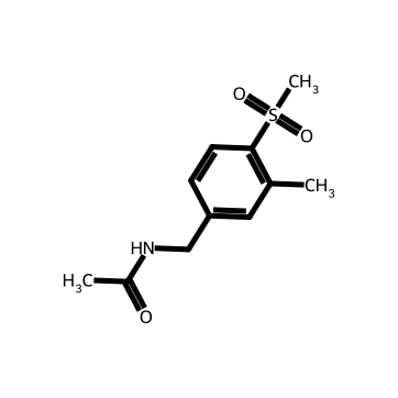 CC(=O)NCc1ccc(S(C)(=O)=O)c(C)c1